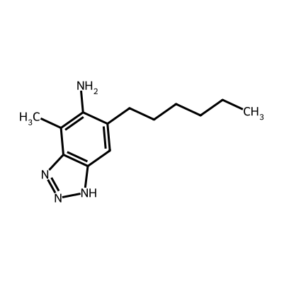 CCCCCCc1cc2[nH]nnc2c(C)c1N